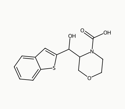 O=C(O)N1CCOCC1C(O)c1cc2ccccc2s1